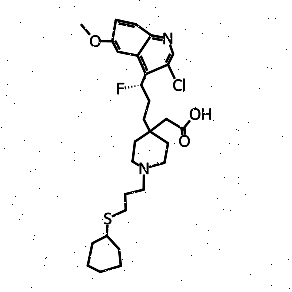 COc1ccc2ncc(Cl)c([C@@H](F)CCC3(CC(=O)O)CCN(CCCSC4CCCCC4)CC3)c2c1